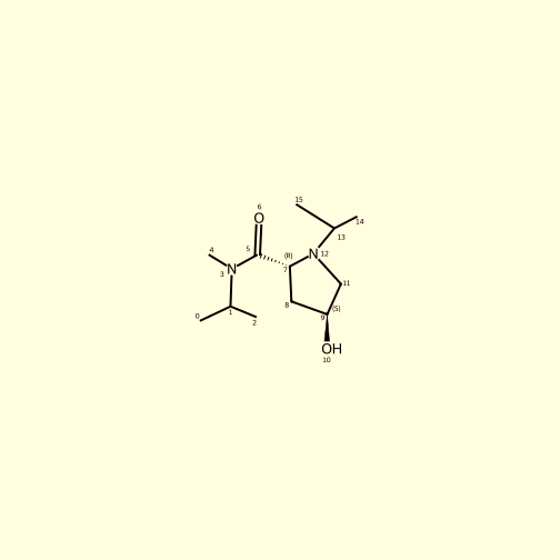 CC(C)N(C)C(=O)[C@H]1C[C@H](O)CN1C(C)C